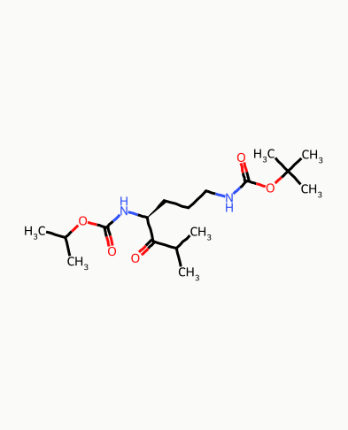 CC(C)OC(=O)N[C@@H](CCCNC(=O)OC(C)(C)C)C(=O)C(C)C